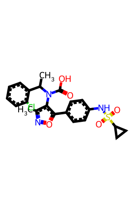 Cc1noc(-c2ccc(NS(=O)(=O)C3CC3)cc2)c1N(C(=O)O)C(C)c1ccccc1Cl